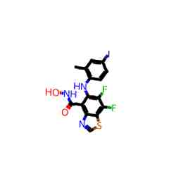 Cc1cc(I)ccc1Nc1c(F)c(F)c2scnc2c1C(=O)NO